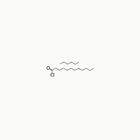 CCCCCC.CCCCCCCCCCCC(=O)Cl